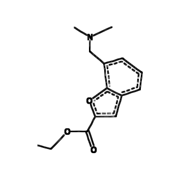 CCOC(=O)c1cc2cccc(CN(C)C)c2o1